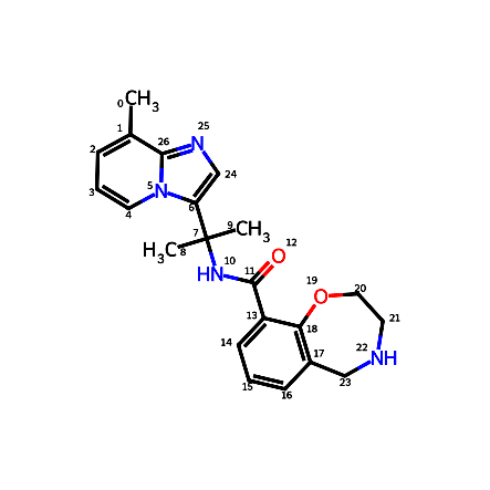 Cc1cccn2c(C(C)(C)NC(=O)c3cccc4c3OCCNC4)cnc12